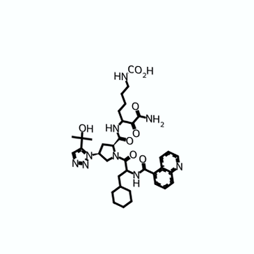 CC(C)(O)c1cnnn1[C@H]1C[C@@H](C(=O)NC(CCCCNC(=O)O)C(=O)C(N)=O)N(C(=O)C(CC2CCCCC2)NC(=O)c2cccc3ncccc23)C1